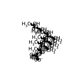 CCCC(O)C(=O)OCC[N+](C)(C)C.CCCC(O)C(=O)OCC[N+](C)(C)C.CCCC(O)C(=O)OCC[N+](C)(C)C.CCCC(O)C(=O)OCC[N+](C)(C)C.CCCC(O)C(=O)[O-].O=C([O-])CC(O)(CC(=O)[O-])C(=O)[O-]